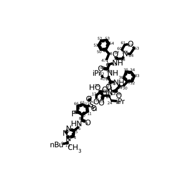 CCCCC(C)n1cc(CNC(=O)c2cc(S(=O)(=O)OCC(C)(O)C(=O)[C@H](CC(C)C)NC(=O)[C@H](Cc3ccccc3)NC(=O)[C@H](CC(C)C)NC(=O)[C@H](CCc3ccccc3)NC(=O)CN3CCOCC3)ccc2F)nn1